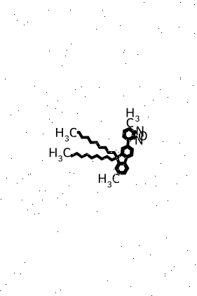 CCCCCCCCCCC1(CCCCCCCCCC)c2cc(C)ccc2-c2ccc(-c3ccc(C)c4nonc34)cc21